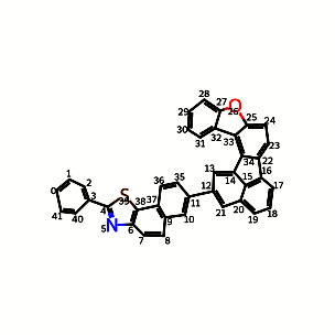 c1ccc(-c2nc3ccc4cc(-c5cc6c7c(cccc7c5)-c5ccc7oc8ccccc8c7c5-6)ccc4c3s2)cc1